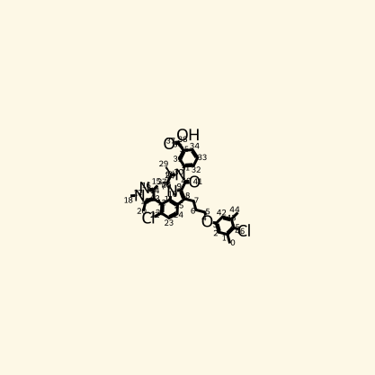 Cc1cc(OCCCc2c3n(c4c(-c5c(C)nn(C)c5C)c(Cl)ccc24)[C@H](C)[C@@H](C)N(c2cccc(C(=O)O)c2)C3=O)cc(C)c1Cl